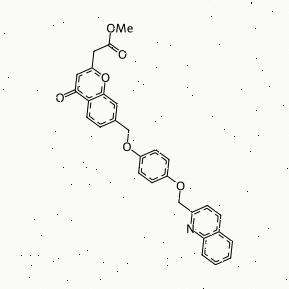 COC(=O)Cc1cc(=O)c2ccc(COc3ccc(OCc4ccc5ccccc5n4)cc3)cc2o1